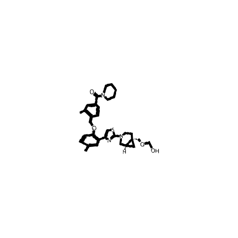 Cc1ccc(OCc2ccc(C(=O)N3CCCCC3)cc2C)c(-c2csc(N3CC[C@@]4(COCO)C[C@H]4C3)n2)c1